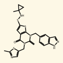 C=C1N(Cc2cnc(C)s2)C(=O)c2cc(SNC3(C)CC3)sc2N1Cc1ccc2[nH]ncc2c1